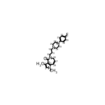 Cc1cn(C)c2c1C(=O)N(CCCN1CCN(c3ccc(F)cc3)CC1)CC=C2